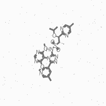 COc1ncnc(OC)c1-n1c(NS(=O)(=O)[C@@H](C)[C@@H](OC(C)C)c2ncc(C)cn2)nnc1-c1cncc(C)c1